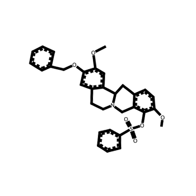 COc1cc2c(cc1OCc1ccccc1)CCN1Cc3c(ccc(OC)c3OS(=O)(=O)c3ccccc3)CC21